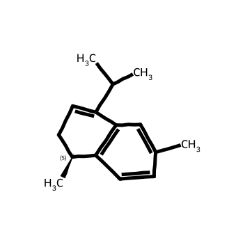 Cc1ccc2c(c1)C(C(C)C)=CC[C@@H]2C